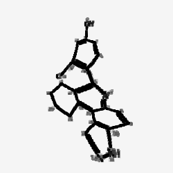 Oc1ccc(-c2nc3ccc4[nH]ncc4c3c3c2CCCC3)c(Cl)c1